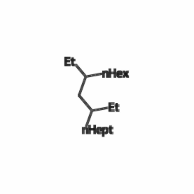 CCCCCCCC(CC)CC(CC)CCCCCC